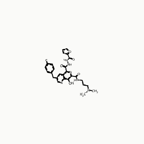 CN(C)CCCNC(=O)c1nc(C(=O)NNC(=O)c2ccco2)c2cc(Cc3ccc(F)cc3)cnc2c1O